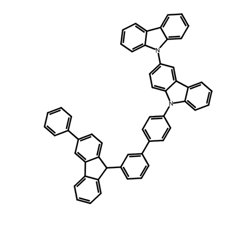 c1ccc(-c2ccc3c(c2)-c2ccccc2C3c2cccc(-c3ccc(-n4c5ccccc5c5cc(-n6c7ccccc7c7ccccc76)ccc54)cc3)c2)cc1